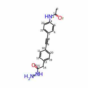 CC(=O)Nc1ccc(C#Cc2ccc(CC(=O)NN)cc2)cc1